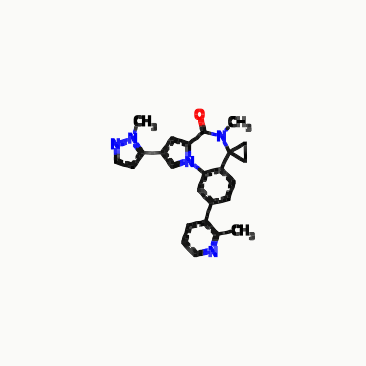 Cc1ncccc1-c1ccc2c(c1)-n1cc(-c3ccnn3C)cc1C(=O)N(C)C21CC1